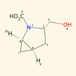 O=C(O)N1[C@H](CO)C[C@H]2C[C@H]21